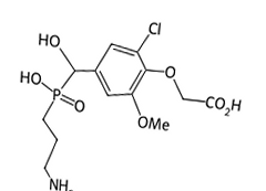 COc1cc(C(O)P(=O)(O)CCCN)cc(Cl)c1OCC(=O)O